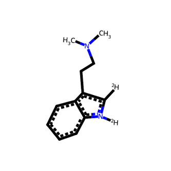 [2H]c1c(CCN(C)C)c2ccccc2n1[2H]